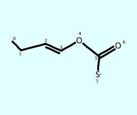 CC/C=C/OC(=O)[S]